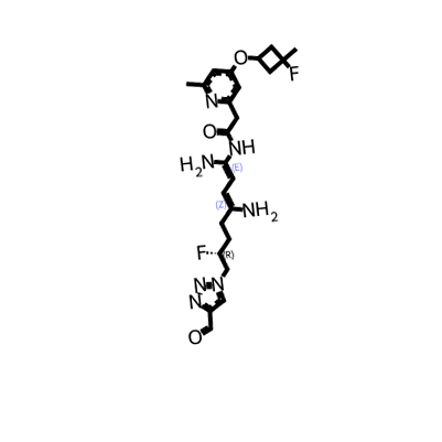 Cc1cc(OC2CC(C)(F)C2)cc(CC(=O)N/C(N)=C/C=C(\N)CC[C@@H](F)Cn2cc(C=O)nn2)n1